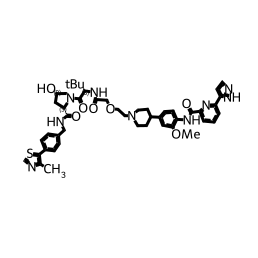 COc1cc(C2CCN(CCOCC(=O)N[C@H](C(=O)N3C[C@H](O)C[C@H]3C(=O)NCc3ccc(-c4scnc4C)cc3)C(C)(C)C)CC2)ccc1NC(=O)c1cccc(-c2ccn[nH]2)n1